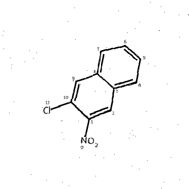 O=[N+]([O-])c1cc2ccccc2[c]c1Cl